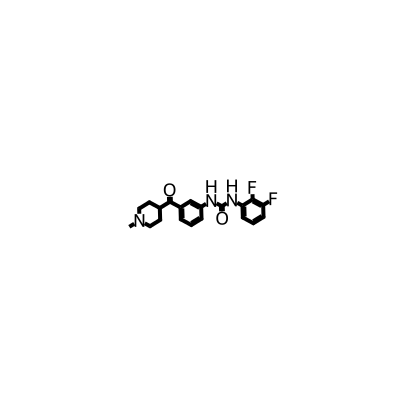 CN1CCC(C(=O)c2cccc(NC(=O)Nc3cccc(F)c3F)c2)CC1